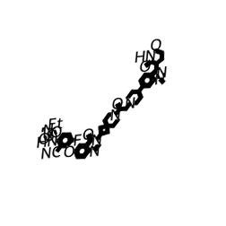 CCN(C)S(=O)(=O)Nc1ccc(F)c(Oc2ccc3ncn(C4CC5(CCN(C(=O)CN6CCC(c7ccc8c(C9CCC(=O)NC9=O)nn(C)c8c7)CC6)CC5)C4)c(=O)c3c2)c1C#N